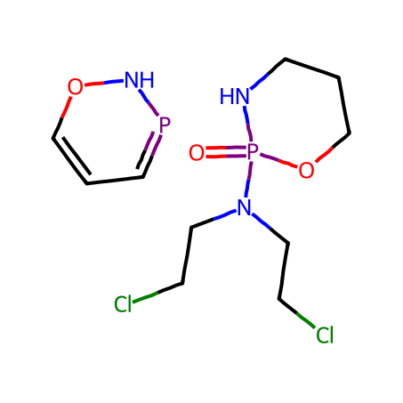 C1=CONP=C1.O=P1(N(CCCl)CCCl)NCCCO1